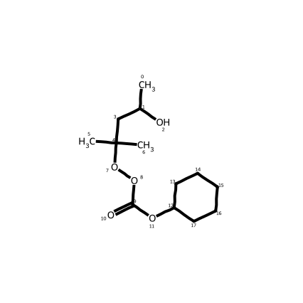 CC(O)CC(C)(C)OOC(=O)OC1CCCCC1